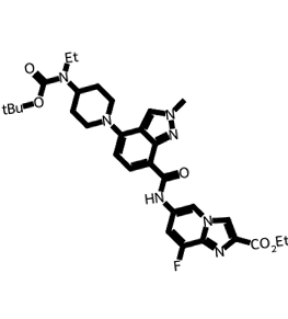 CCOC(=O)c1cn2cc(NC(=O)c3ccc(N4CCC(N(CC)C(=O)OC(C)(C)C)CC4)c4cn(C)nc34)cc(F)c2n1